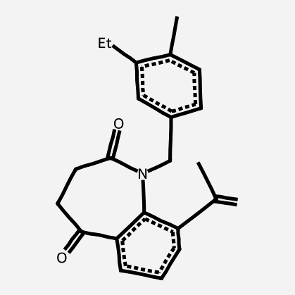 C=C(C)c1cccc2c1N(Cc1ccc(C)c(CC)c1)C(=O)CCC2=O